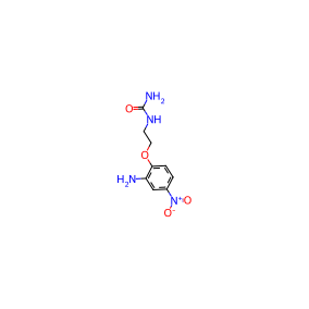 NC(=O)NCCOc1ccc([N+](=O)[O-])cc1N